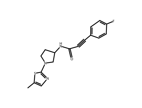 Cc1cnc(N2CCC(NC(=O)C#Cc3ccc(F)cc3)C2)s1